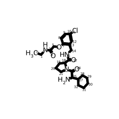 CCNC(=O)COc1ccc(Cl)cc1CNC(=O)C1CCCN1C(=O)C(N)C1CCCCC1